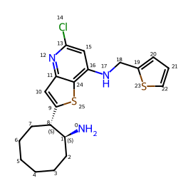 N[C@H]1CCCCCC[C@@H]1c1cc2nc(Cl)cc(NCc3cccs3)c2s1